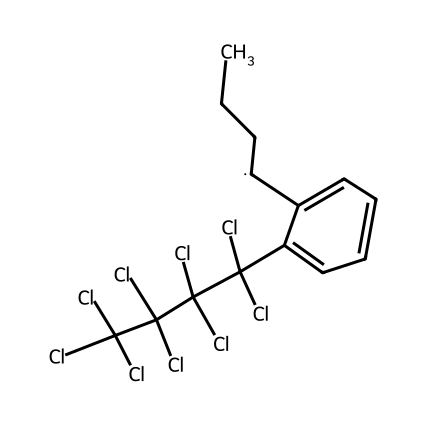 CCC[CH]c1ccccc1C(Cl)(Cl)C(Cl)(Cl)C(Cl)(Cl)C(Cl)(Cl)Cl